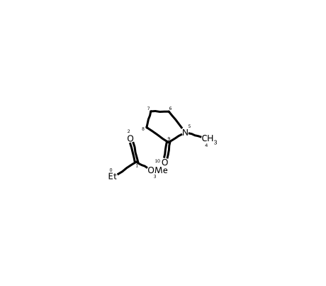 CCC(=O)OC.CN1CCCC1=O